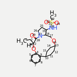 CC[C@H]1Oc2ccccc2C2CCC(CC2)OCC2C(NS(C)(=O)=O)CCN2C1=O